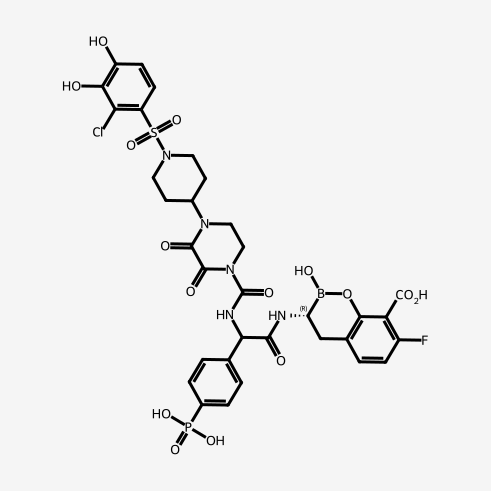 O=C(O)c1c(F)ccc2c1OB(O)[C@@H](NC(=O)C(NC(=O)N1CCN(C3CCN(S(=O)(=O)c4ccc(O)c(O)c4Cl)CC3)C(=O)C1=O)c1ccc(P(=O)(O)O)cc1)C2